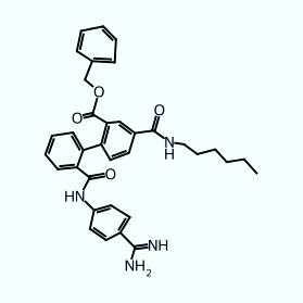 CCCCCCNC(=O)c1ccc(-c2ccccc2C(=O)Nc2ccc(C(=N)N)cc2)c(C(=O)OCc2ccccc2)c1